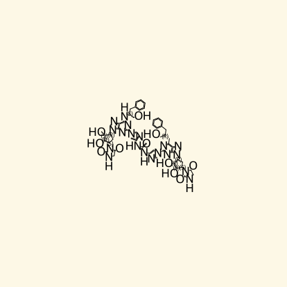 O=C(Nc1cn(-c2nc(C[C@H](CO)Cc3ccccc3)c3ncn([C@@H]4C[C@H](N5C(=O)CNC5=O)[C@@H](O)[C@H]4O)c3n2)cn1)Nc1cn(-c2nc(N[C@H](CO)Cc3ccccc3)c3ncn([C@@H]4C[C@H](N5C(=O)CNC5=O)[C@@H](O)[C@H]4O)c3n2)cn1